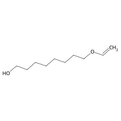 C=COCCCCCCCCO